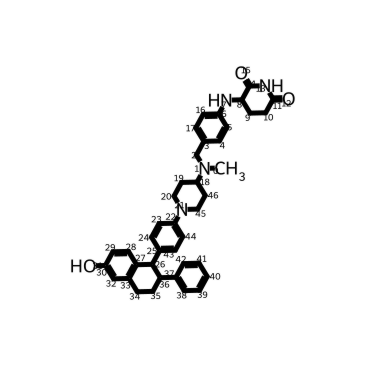 CN(Cc1ccc(NC2CCC(=O)NC2=O)cc1)C1CCN(c2ccc(C3c4ccc(O)cc4CCC3c3ccccc3)cc2)CC1